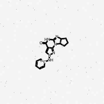 O=C1NC2=NC3CCCC3N2c2nn(N[14c]3ccccc3)cc21